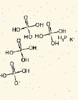 O=P(O)(O)O.O=P(O)(O)O.O=P(O)(O)O.O=P([O-])(O)O.P.[K+]